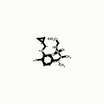 CCOC(=O)CNS(=O)(=O)N(C)[C@H](C)c1ccc(F)c(OCC2CC2)c1